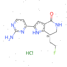 Cl.Nc1nccc(-c2cc3c([nH]2)[C@@H](CCF)CNC3=O)n1